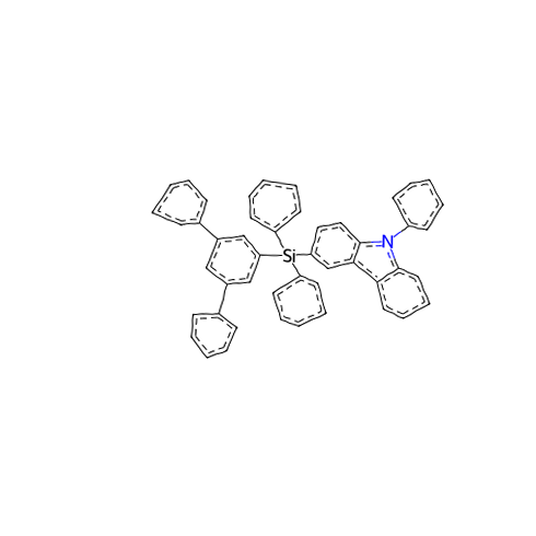 c1ccc(-c2cc(-c3ccccc3)cc([Si](c3ccccc3)(c3ccccc3)c3ccc4c(c3)c3ccccc3n4-c3ccccc3)c2)cc1